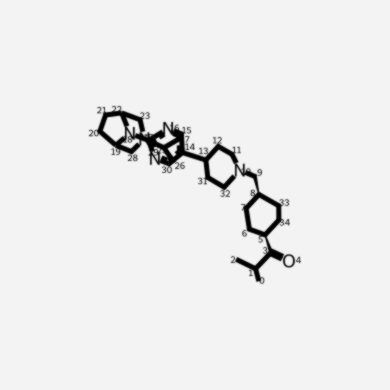 CC(C)C(=O)[C@H]1CC[C@@H](CN2CCC(c3cnc(N4C5CCC4CN(C(C)C)C5)nc3)CC2)CC1